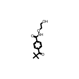 CC(C)(C)C(=O)c1ccc(C(=O)NOCCO)cc1